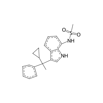 CC(c1ccccc1)(c1c[nH]c2c(NS(C)(=O)=O)cccc12)C1CC1